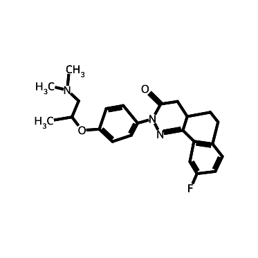 CC(CN(C)C)Oc1ccc(N2N=C3c4cc(F)ccc4CCC3CC2=O)cc1